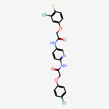 O=C(COc1ccc(F)c(Cl)c1)Nc1ccc(NC(=O)COc2ccc(Cl)cc2)nc1